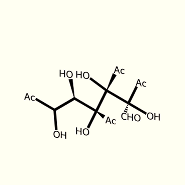 CC(=O)C(O)[C@@H](O)[C@](O)(C(C)=O)[C@@](O)(C(C)=O)[C@@](O)(C=O)C(C)=O